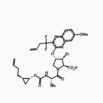 C=CCC[C@@H]1C[C@H]1OC(=O)N[C@H](C(=O)N1C[C@H](Oc2nc3cc(OC)ccc3nc2C(F)(F)CC=C)[C@@H](CC)[C@H]1C(=O)O)C(C)(C)C